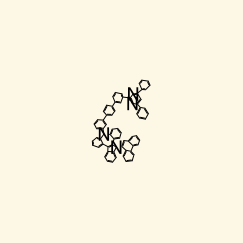 c1ccc(-c2cc(-c3ccccc3)nc(-c3cccc(-c4ccc(-c5cccc(N6c7ccccc7-c7c(n(-c8cc9ccccc9c9ccccc89)c8ccccc78)-c7ccccc76)c5)cc4)c3)n2)cc1